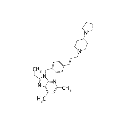 CCc1nc2c(C)cc(C)nc2n1Cc1ccc(/C=C/CN2CCC(N3CCCC3)CC2)cc1